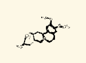 COc1cc2c(cc1OC)C1CC(=O)[C@@H](CC(C)C)CN1CC2